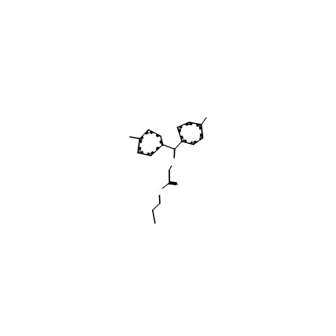 CCCNC(=O)CSC(c1ccc(F)cc1)c1ccc(F)cc1